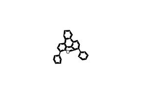 c1ccc(-c2ccc3c4ccccc4c4ccc(-c5ccccc5)c5oc2c3c54)cc1